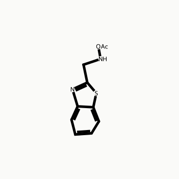 CC(=O)ONCc1nc2ccccc2s1